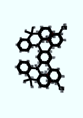 CC1(C)c2ccccc2N(c2cc(N3c4ccccc4C(C)(C)c4ccccc43)c(-c3ccc(C#N)cc3)cc2-c2ccc(C#N)cc2)c2ccccc21